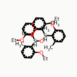 CCOc1cccc(C)c1[SiH](O[SiH](c1c(C)cccc1OCC)c1c(C)cccc1OCC)c1c(C)cccc1OCC